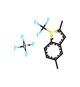 Cc1ccc2c(c1)cc(C)[s+]2C(F)(F)F.F[B-](F)(F)F